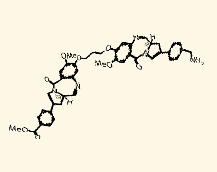 COC(=O)c1ccc(C2=CN3C(=O)c4cc(OC)c(OCCCOc5cc6c(cc5OC)C(=O)N5C=C(c7ccc(CN)cc7)C[C@H]5C=N6)cc4N=C[C@@H]3C2)cc1